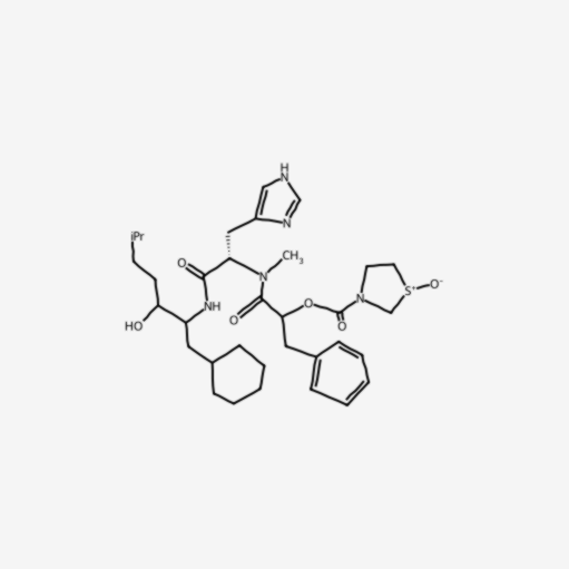 CC(C)CCC(O)C(CC1CCCCC1)NC(=O)[C@H](Cc1c[nH]cn1)N(C)C(=O)C(Cc1ccccc1)OC(=O)N1CC[S+]([O-])C1